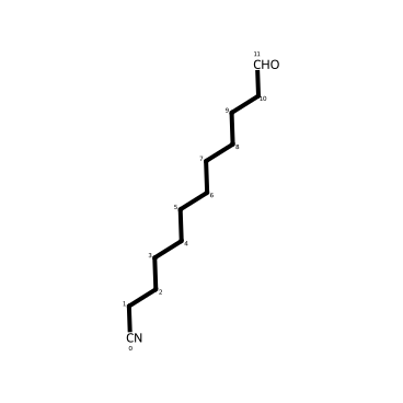 N#CCCCCCCCCCCC=O